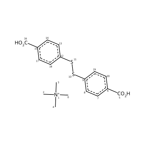 C[N+](C)(C)C.O=C(O)c1ccc(SSc2ccc(C(=O)O)cc2)cc1